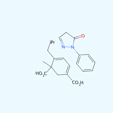 CC(C)CC1=CC=C(C(=O)O)CC1(C)C(=O)O.O=C1CC=NN1c1ccccc1